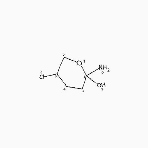 NC1(O)CCC(Cl)CO1